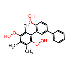 Cc1c(C)c(OO)c(-c2cc(-c3ccccc3)ccc2OO)c(C)c1OO